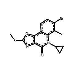 CSc1nc2c(=O)n(C3CC3)c3c(C)c(Br)ccc3c2o1